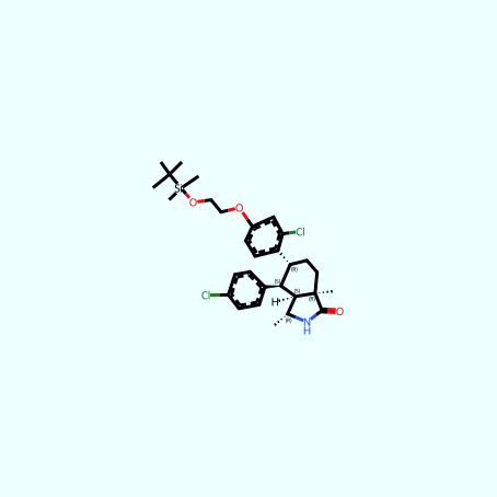 C[C@H]1NC(=O)[C@]2(C)CC[C@@H](c3ccc(OCCO[Si](C)(C)C(C)(C)C)cc3Cl)[C@H](c3ccc(Cl)cc3)[C@H]12